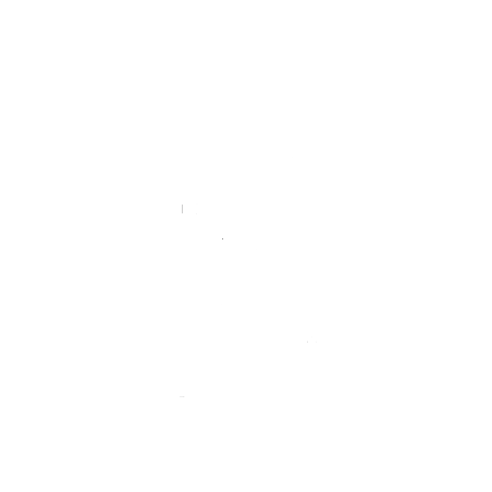 CC(C)(C)c1cc(CC(C)(C)c2coc3ccccc23)cc2occc12